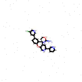 NC1=N[C@@]2(CCO1)c1cc(-c3cncc(F)c3)ccc1Oc1cnc(-c3cccnc3)cc12